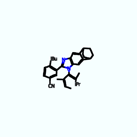 C/C=C(C)\C(=C(\C)C(C)C)n1c(-c2cc(C#N)ccc2C(C)CC)nc2cc3c(cc21)C1CCC3CC1